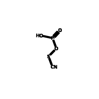 N#CSO[P](=O)O